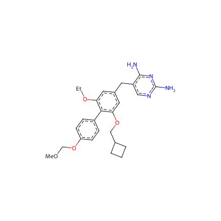 CCOc1cc(Cc2cnc(N)nc2N)cc(OCC2CCC2)c1-c1ccc(OCOC)cc1